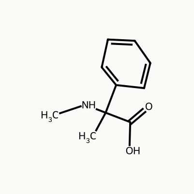 CNC(C)(C(=O)O)c1ccccc1